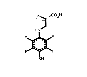 N[C@@H](CNc1c(F)c(F)c(S)c(F)c1F)C(=O)O